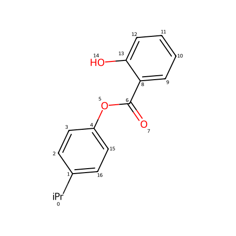 CC(C)c1ccc(OC(=O)c2ccccc2O)cc1